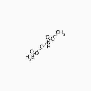 BC(=O)OCCOCCNC(=O)OCCC